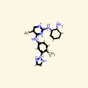 CC(=O)c1cnc(N[C@@H]2CCCC[C@@H]2N)nc1Nc1ccc(C)c(-n2nccn2)c1